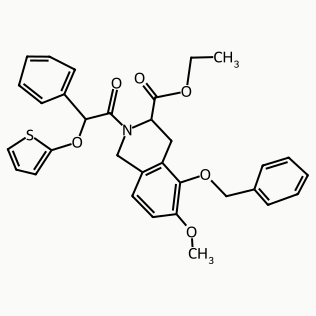 CCOC(=O)C1Cc2c(ccc(OC)c2OCc2ccccc2)CN1C(=O)C(Oc1cccs1)c1ccccc1